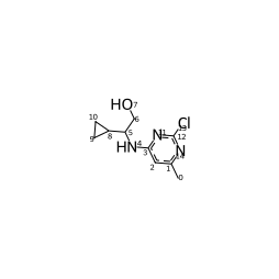 Cc1cc(NC(CO)C2CC2)nc(Cl)n1